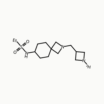 [2H]N1CC(CN2CC3(CCC(NS(=O)(=O)CC)CC3)C2)C1